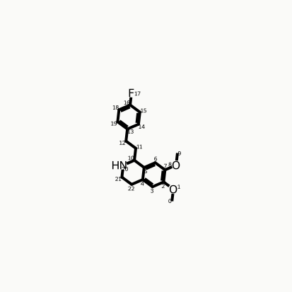 COc1cc2c(cc1OC)C(CCc1ccc(F)cc1)NCC2